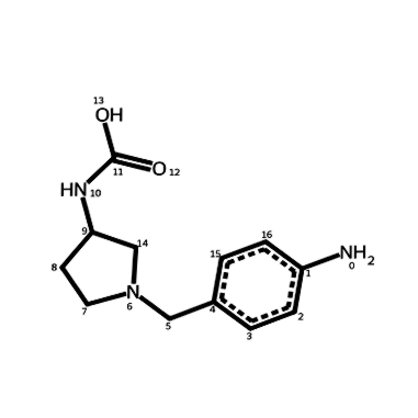 Nc1ccc(CN2CCC(NC(=O)O)C2)cc1